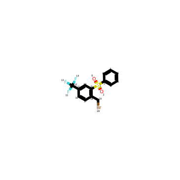 O=S(=O)(c1ccccc1)c1cc(C(F)(F)F)ccc1CBr